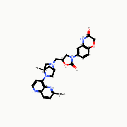 COc1ccc2nccc(N3CC4C[C@H]3CN4CC3CN(c4ccc5c(c4)NC(=O)CO5)C(=O)O3)c2n1